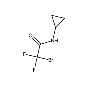 O=C(NC1CC1)C(F)(F)Br